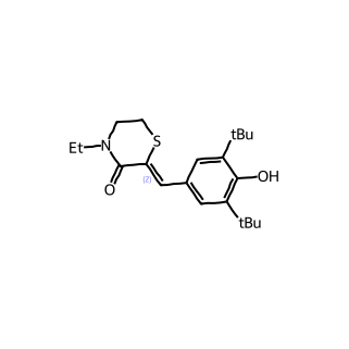 CCN1CCS/C(=C\c2cc(C(C)(C)C)c(O)c(C(C)(C)C)c2)C1=O